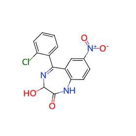 O=C1Nc2ccc([N+](=O)[O-])cc2C(c2ccccc2Cl)=NC1O